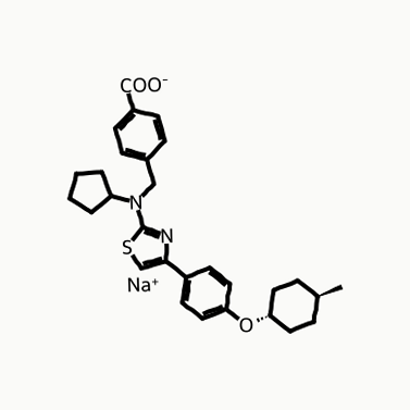 C[C@H]1CC[C@H](Oc2ccc(-c3csc(N(Cc4ccc(C(=O)[O-])cc4)C4CCCC4)n3)cc2)CC1.[Na+]